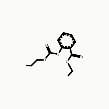 CCCOC(=O)Sc1ccccc1C(=O)OCC